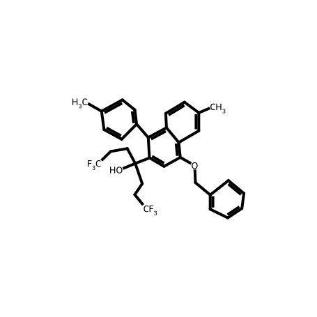 Cc1ccc(-c2c(C(O)(CCC(F)(F)F)CCC(F)(F)F)cc(OCc3ccccc3)c3cc(C)ccc23)cc1